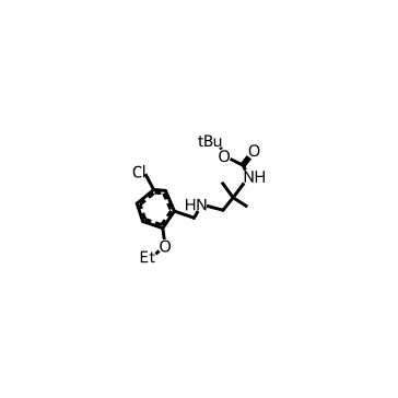 CCOc1ccc(Cl)cc1CNCC(C)(C)NC(=O)OC(C)(C)C